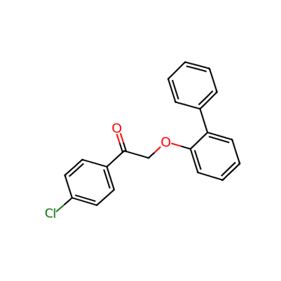 O=C(COc1ccccc1-c1ccccc1)c1ccc(Cl)cc1